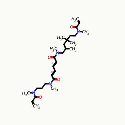 C=CC(=O)N(C)CCCN(C)C(=O)/C=C/C=C/C(=O)N(C)CC(C)CC(C)(C)CCN(C)C(=O)C=C